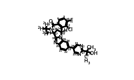 [2H]C([2H])([2H])N1C(=O)c2ccc(F)c(Cl)c2[C@H]2C[C@@H]1c1nc3ccc(-c4cnc(C(C)(C)O)nc4)cc3n12